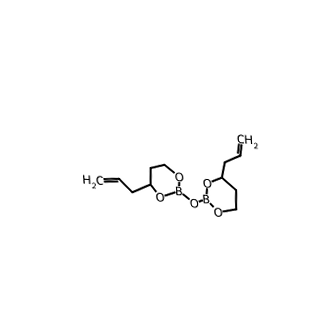 C=CCC1CCOB(OB2OCCC(CC=C)O2)O1